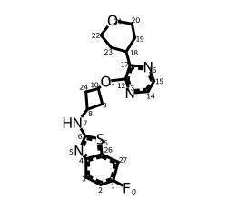 Fc1ccc2nc(NC3CC(Oc4nccnc4C4CCOCC4)C3)sc2c1